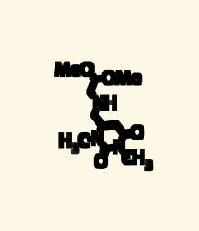 COC(CNCc1cc(=O)n(C)c(=O)n1C)OC